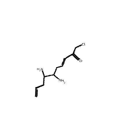 C=CCC(N)C(N)CC=CC(=O)CCl